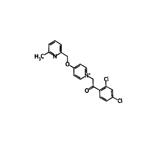 Cc1cccc(COc2cc[n+](CC(=O)c3ccc(Cl)cc3Cl)cc2)n1